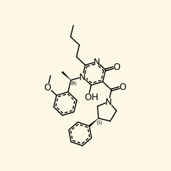 CCCCc1nc(=O)c(C(=O)N2CC[C@@H](c3ccccc3)C2)c(O)n1[C@H](C)c1ccccc1OC